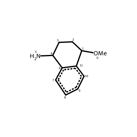 COC1CCC(N)c2ccccc21